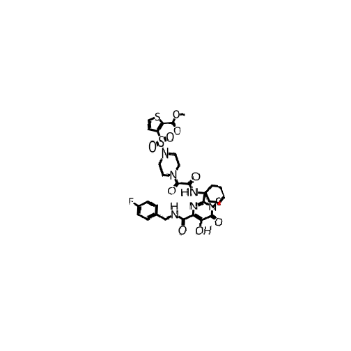 COC(=O)c1sccc1S(=O)(=O)N1CCN(C(=O)C(=O)NC23CCC(CC2)Cn2c3nc(C(=O)NCc3ccc(F)cc3)c(O)c2=O)CC1